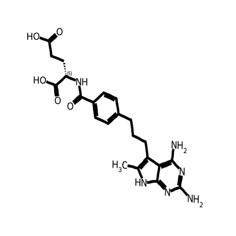 Cc1[nH]c2nc(N)nc(N)c2c1CCCc1ccc(C(=O)N[C@@H](CCC(=O)O)C(=O)O)cc1